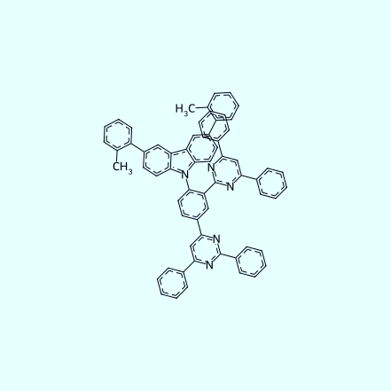 Cc1ccccc1-c1ccc2c(c1)c1cc(-c3ccccc3C)ccc1n2-c1ccc(-c2cc(-c3ccccc3)nc(-c3ccccc3)n2)cc1-c1nc(-c2ccccc2)cc(-c2ccccc2)n1